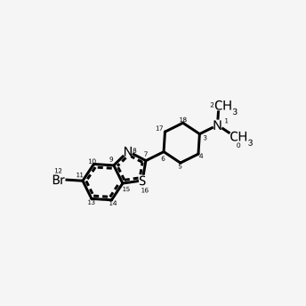 CN(C)C1CCC(c2nc3cc(Br)ccc3s2)CC1